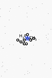 CC1C=CC=CC1c1nc(-c2cccc(-c3c(-c4ccc(-c5ccccc5)cc4)ccc4ccccc34)c2)nc(C2C=CC=C(c3ccccc3)C2C)n1